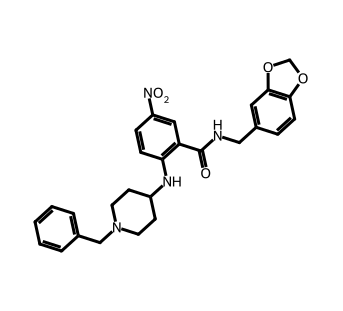 O=C(NCc1ccc2c(c1)OCO2)c1cc([N+](=O)[O-])ccc1NC1CCN(Cc2ccccc2)CC1